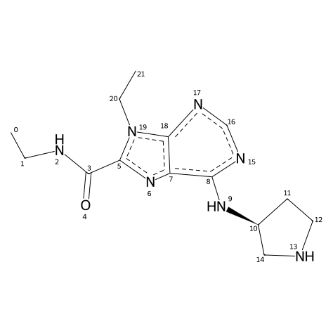 CCNC(=O)c1nc2c(N[C@H]3CCNC3)ncnc2n1CC